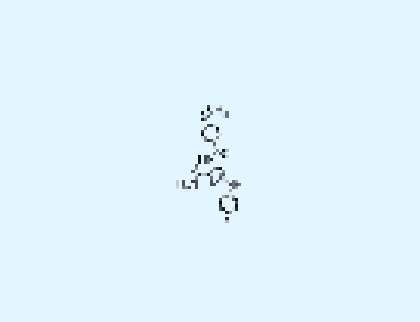 COc1ccc(C(=O)Nc2sc(Nc3ccc(F)cc3)nc2C(N)=O)cc1